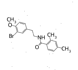 COc1ccc(CCNC(=O)c2ccc(C)cc2C)cc1Br